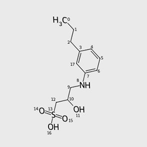 CCCc1cccc(NCC(O)CS(=O)(=O)O)c1